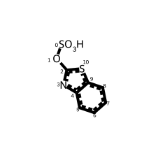 O=S(=O)(O)Oc1nc2ccccc2s1